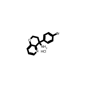 Cl.NC1(c2ccc(Br)cc2)CCOc2cccnc21